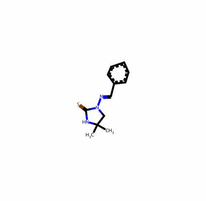 CC1(C)CN(N=Cc2ccccc2)C(=S)N1